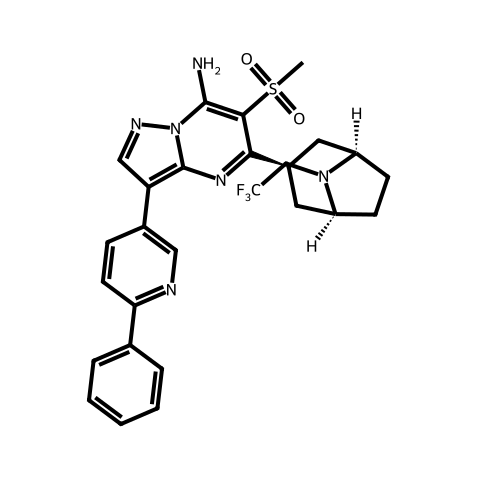 CS(=O)(=O)c1c([C@H]2C[C@H]3CC[C@@H](C2)N3CC(F)(F)F)nc2c(-c3ccc(-c4ccccc4)nc3)cnn2c1N